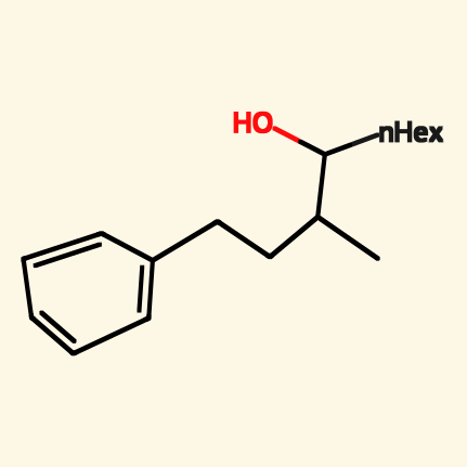 CCCCCCC(O)C(C)CCc1ccccc1